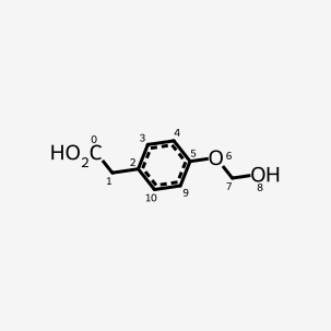 O=C(O)Cc1ccc(OCO)cc1